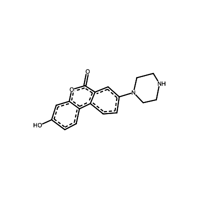 O=c1oc2cc(O)ccc2c2ccc(N3CCNCC3)cc12